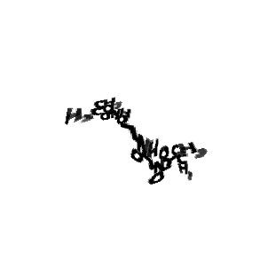 CC(C)OC(=O)NCOCCCNC(=O)CCN1C(=O)C=C(C(C)C)C1=O